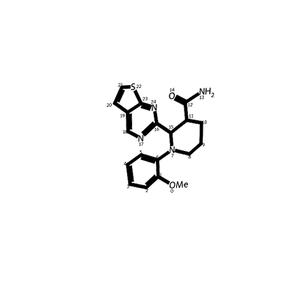 COc1ccccc1N1CCCC(C(N)=O)C1c1ncc2ccsc2n1